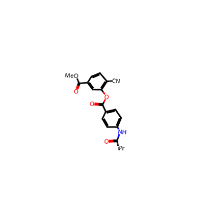 COC(=O)c1ccc(C#N)c(OC(=O)c2ccc(NC(=O)C(C)C)cc2)c1